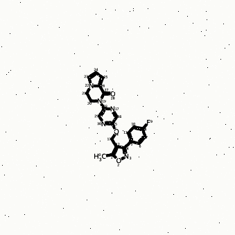 Cc1onc(-c2ccc(F)cc2)c1COc1cnc(N2CCn3cccc3C2=O)cn1